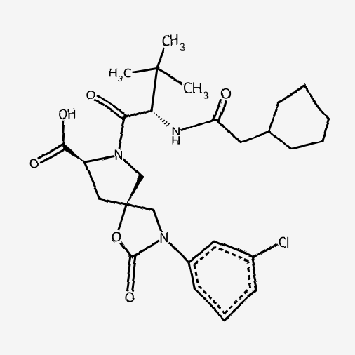 CC(C)(C)[C@H](NC(=O)CC1CCCCC1)C(=O)N1C[C@@]2(C[C@H]1C(=O)O)CN(c1cccc(Cl)c1)C(=O)O2